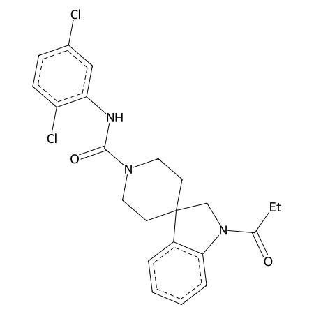 CCC(=O)N1CC2(CCN(C(=O)Nc3cc(Cl)ccc3Cl)CC2)c2ccccc21